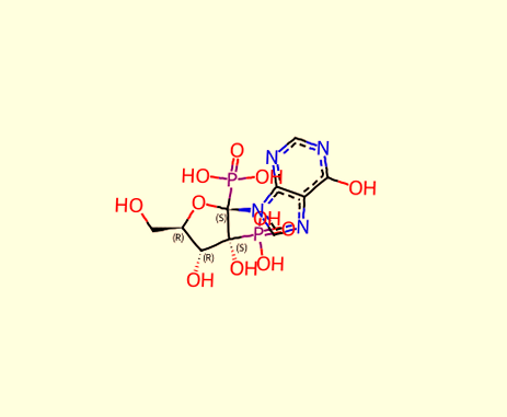 O=P(O)(O)[C@@]1(O)[C@H](O)[C@@H](CO)O[C@]1(n1cnc2c(O)ncnc21)P(=O)(O)O